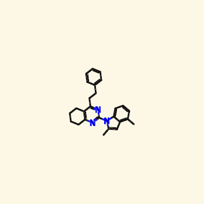 Cc1cccc2c1cc(C)n2-c1nc2c(c(CCc3ccccc3)n1)CCCC2